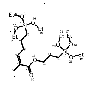 CCO[Si](CCCC=C(C)C(=O)OCCC[Si](OCC)(OCC)OCC)(OCC)OCC